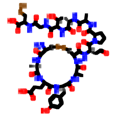 CC(NC(=O)C1CCCN1C(=O)[C@H](CC=O)NC(=O)C1CSSCC(N)C(=O)N[C@@H](C)C(=O)NC(CCC(=O)O)C(=O)N[C@@H](Cc2ccc(O)cc2)C(=O)NC(C)C(=O)N1)C(=O)N[C@@H](C)C(=O)NC(C(=O)NCC(=O)NC(CSS)C(=O)O)[C@H](C)O